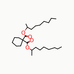 CCCCCCCC(C)OC(=O)C1(C(=O)OC(C)CCCCCCC)CCCCC1